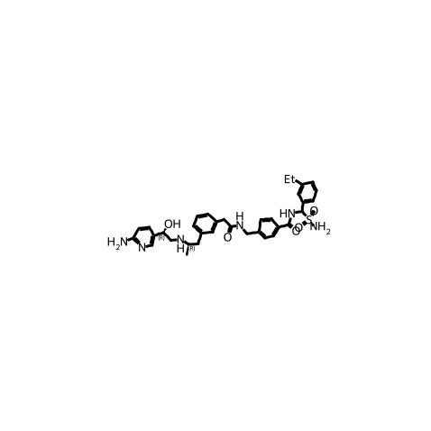 CCc1cccc(C(NC(=O)c2ccc(CNC(=O)Cc3cccc(C[C@@H](C)NC[C@H](O)c4ccc(N)nc4)c3)cc2)S(N)(=O)=O)c1